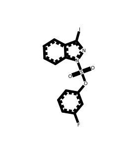 O=S(=O)(Oc1cccc(F)c1)n1nc(I)c2c[c]ccc21